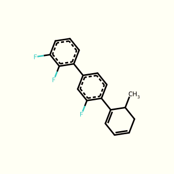 CC1CC=CC=C1c1ccc(-c2cccc(F)c2F)cc1F